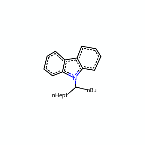 CCCCCCCC(CCCC)n1c2ccccc2c2ccccc21